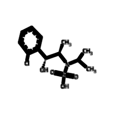 CC(C)N([C@H](C)[C@H](O)c1ccccc1Cl)S(=O)(=O)O